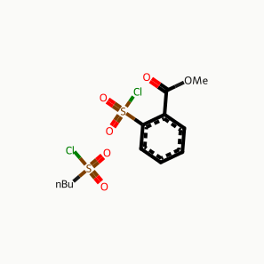 CCCCS(=O)(=O)Cl.COC(=O)c1ccccc1S(=O)(=O)Cl